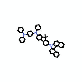 CC1(C)c2cc(N(c3ccccc3)c3ccc(N(c4ccccc4)c4ccccc4)cc3)ccc2-c2ccc(-n3c4ccc5ccccc5c4c4c5ccccc5ccc43)cc21